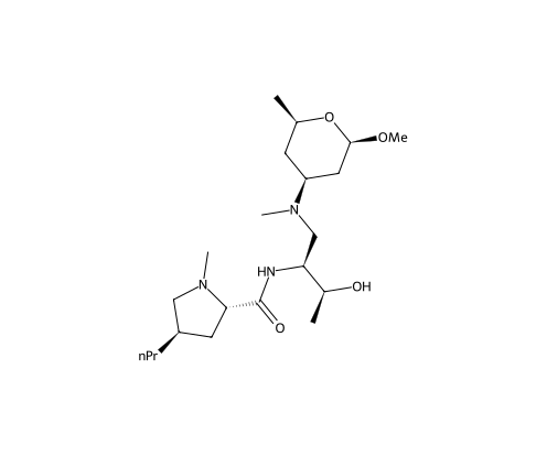 CCC[C@@H]1C[C@@H](C(=O)N[C@@H](CN(C)[C@@H]2C[C@H](OC)O[C@H](C)C2)[C@H](C)O)N(C)C1